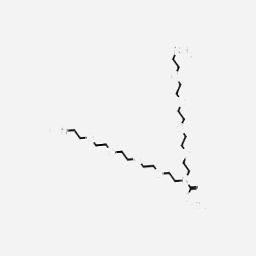 CC(C)(C)OC(=O)N(CCOCCOCCOCCOCCN)CCOCCOCCOCCOCCN